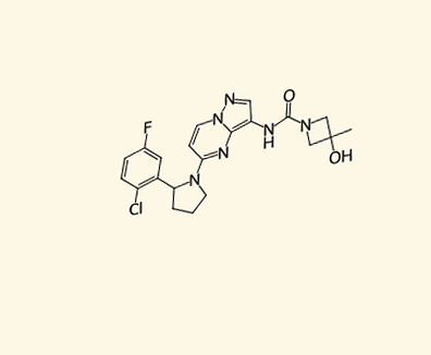 CC1(O)CN(C(=O)Nc2cnn3ccc(N4CCCC4c4cc(F)ccc4Cl)nc23)C1